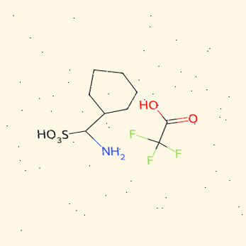 NC(C1CCCCC1)S(=O)(=O)O.O=C(O)C(F)(F)F